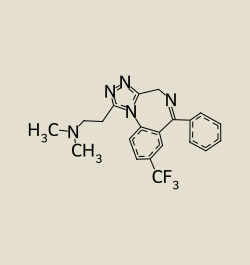 CN(C)CCc1nnc2n1-c1ccc(C(F)(F)F)cc1C(c1ccccc1)=NC2